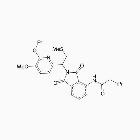 CCOc1nc(C(CSC)N2C(=O)c3cccc(NC(=O)CC(C)C)c3C2=O)ccc1OC